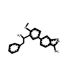 COc1ccc(-c2ccc3c(N)n[nH]c3c2)cc1C(N)Cc1ccccc1